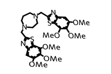 COc1cc2nc(CN3CCCN(Cc4nc5cc(OC)c(OC)c(OC)c5s4)CC3)sc2c(OC)c1OC